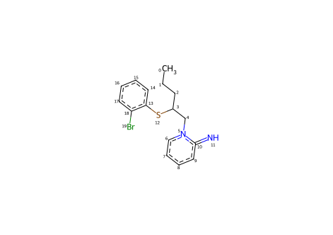 CCCC(Cn1ccccc1=N)Sc1ccccc1Br